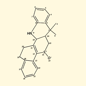 CC1(C)c2ccccc2NC2C3=C(c4ccccc4CC3)[S+]([O-])CC21